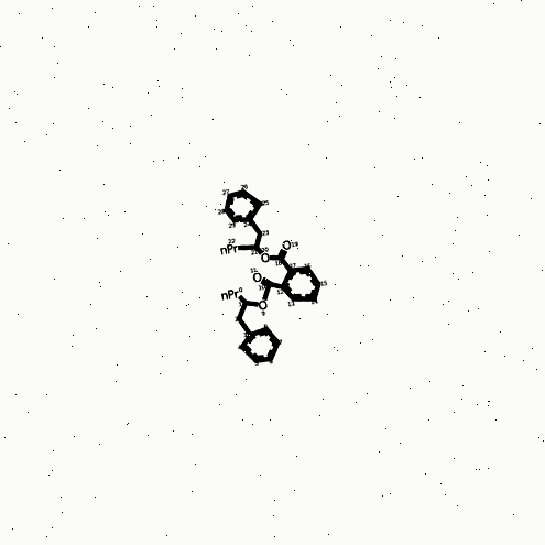 CCCC(Cc1ccccc1)OC(=O)c1ccccc1C(=O)OC(CCC)Cc1ccccc1